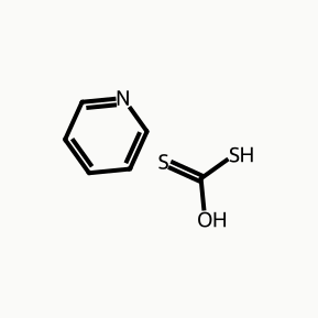 OC(=S)S.c1ccncc1